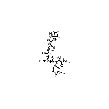 C[C@@H](C(N)=O)N(c1ccc(F)c(F)c1)c1nc(N)c(C(=O)c2cc(C(=O)NC3(C)CCC3)no2)s1